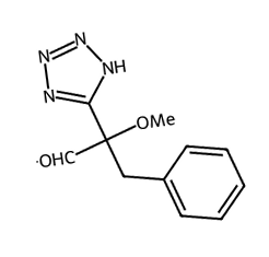 COC([C]=O)(Cc1ccccc1)c1nnn[nH]1